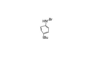 CC(C)(C)c1ccc(NBr)cc1